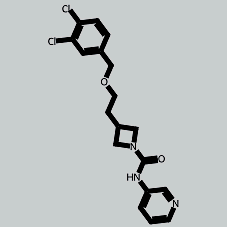 O=C(Nc1cccnc1)N1CC(CCOCc2ccc(Cl)c(Cl)c2)C1